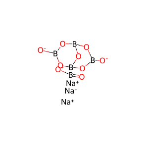 O=B[O-].[Na+].[Na+].[Na+].[O-]B1OB2OB([O-])OB(O1)O2